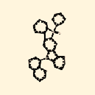 O=P1(c2ccccc2)c2ccccc2-c2cc3c(cc21)c1ccccc1n3-c1cccc2ccccc12